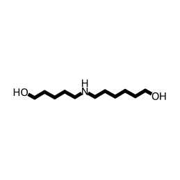 OCCCCCCNCCCCCO